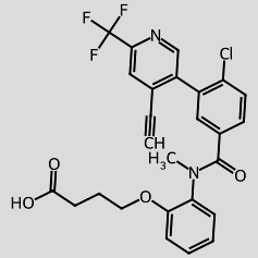 C#Cc1cc(C(F)(F)F)ncc1-c1cc(C(=O)N(C)c2ccccc2OCCCC(=O)O)ccc1Cl